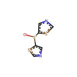 [O-][S+](c1cncs1)c1cncs1